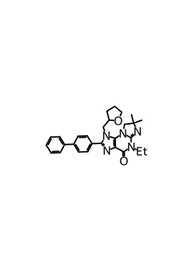 CCN1C(=O)c2nc(-c3ccc(-c4ccccc4)cc3)n(CC3CCCO3)c2N2CC(C)(C)N=C12